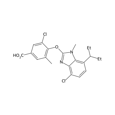 CCC(CC)c1ccc(Cl)c2nc(Oc3c(C)cc(C(=O)O)cc3Cl)n(C)c12